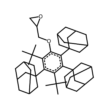 CC(C)(C)c1c(OCC2CO2)c(C23CC4CC(CC(C4)C2)C3)c(C23CC4CC(CC(C4)C2)C3)c(C(C)(C)C)c1C12CC3CC(CC(C3)C1)C2